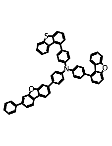 c1ccc(-c2ccc3c(c2)oc2cc(-c4ccc(N(c5ccc(-c6cccc7oc8ccccc8c67)cc5)c5ccc(-c6cccc7sc8ccccc8c67)cc5)cc4)ccc23)cc1